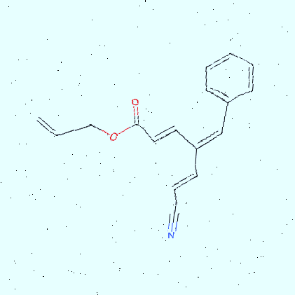 C=CCOC(=O)C=CC(C=CC#N)=Cc1ccccc1